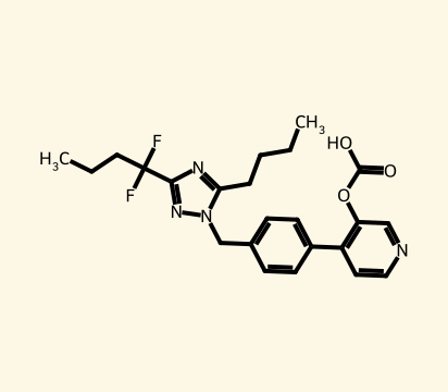 CCCCc1nc(C(F)(F)CCC)nn1Cc1ccc(-c2ccncc2OC(=O)O)cc1